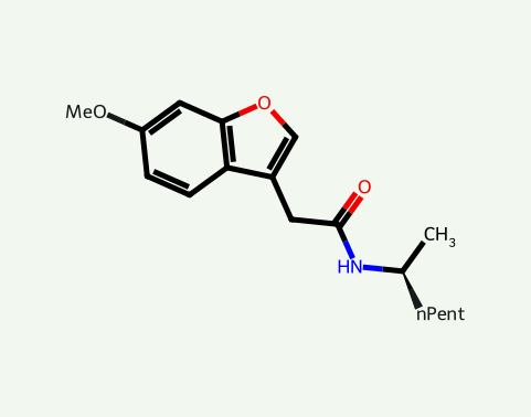 CCCCC[C@H](C)NC(=O)Cc1coc2cc(OC)ccc12